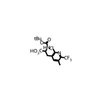 Cc1cc(CC(NC(=O)OC(C)(C)C)C(=O)O)c(Cl)nc1C(F)(F)F